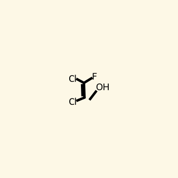 CO.FC(Cl)=CCl